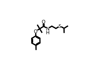 Cc1ccc(OC(C)(C)C(=O)NCCSC(C)C)cc1